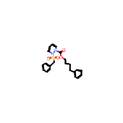 O=C(OCCCCc1ccccc1)N1C=CC=CN1S(=O)(=O)Cc1ccccc1